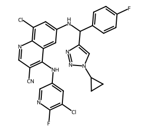 N#Cc1cnc2c(Cl)cc(NC(c3ccc(F)cc3)c3cn(C4CC4)nn3)cc2c1Nc1cnc(F)c(Cl)c1